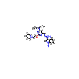 CCCN(CCC)c1cc(/C=N/Nc2c[nH]c3ccccc23)nc(OCCN2CCCCC2)n1